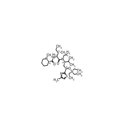 CC[C@H](C)[C@H](NC(=O)[C@H]1CCCCN1C)C(=O)N(CC)[C@H](C[C@@H](O[Si](CC)(CC)CC)c1nc(C)cs1)C(C)C